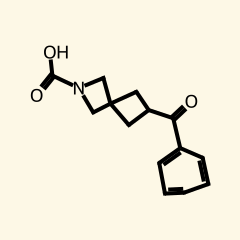 O=C(c1ccccc1)C1CC2(C1)CN(C(=O)O)C2